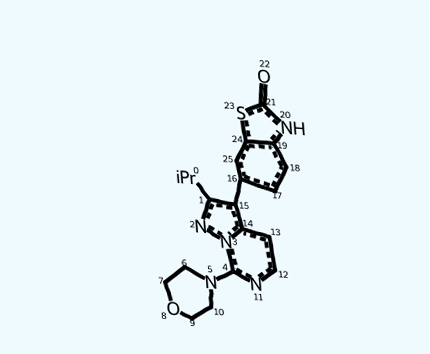 CC(C)c1nn2c(N3CCOCC3)nccc2c1-c1ccc2[nH]c(=O)sc2c1